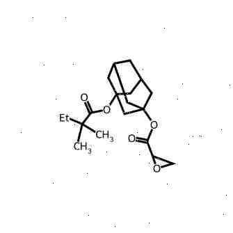 CCC(C)(C)C(=O)OC12CC3CC(CC(OC(=O)C4CO4)(C3)C1)C2